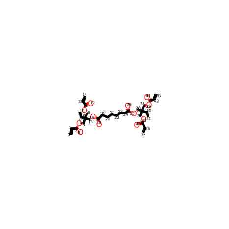 C=CC(=O)OCC(CC)(COC(=O)C=C)COC(=O)CCCCCCC(=O)OCC(CC)(COC(=O)C=C)COC(=O)C=C